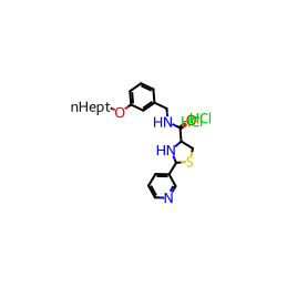 CCCCCCCOc1cccc(CNC(=O)C2CSC(c3cccnc3)N2)c1.Cl.Cl